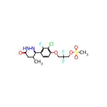 CC1CC(=O)NN=C1c1ccc(OCC(F)(F)COS(C)(=O)=O)c(Cl)c1F